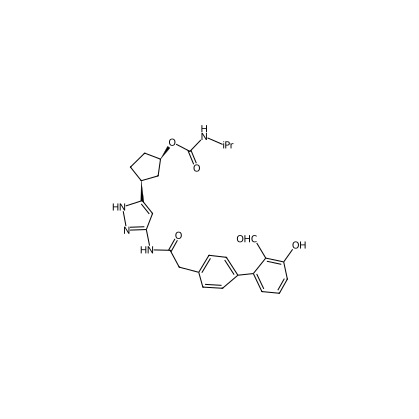 CC(C)NC(=O)O[C@@H]1CC[C@H](c2cc(NC(=O)Cc3ccc(-c4cccc(O)c4C=O)cc3)n[nH]2)C1